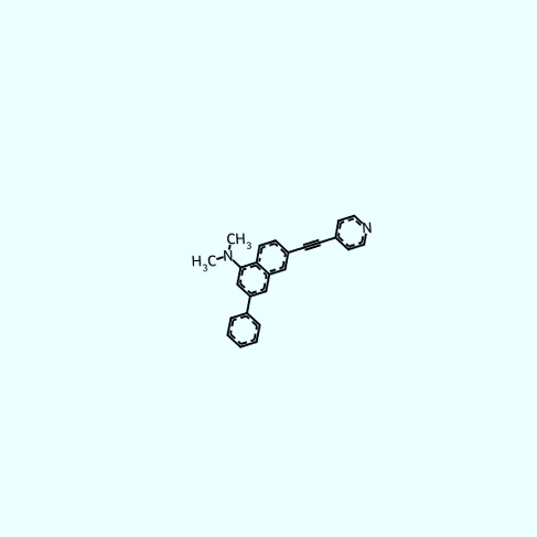 CN(C)c1cc(-c2ccccc2)cc2cc(C#Cc3ccncc3)ccc12